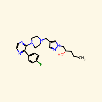 CCC[C@H](O)Cn1cc(CN2CCN(c3nccnc3-c3ccc(F)cc3)CC2)cn1